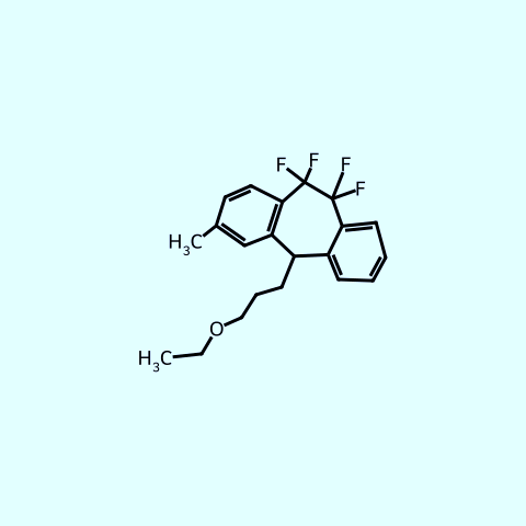 CCOCCCC1c2ccccc2C(F)(F)C(F)(F)c2ccc(C)cc21